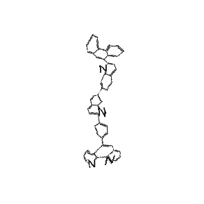 c1ccc2c(c1)cc(-c1ccc3ccc(-c4ccc5ccc(-c6ccc(-c7cc8cccnc8c8ncccc78)cc6)nc5c4)cc3n1)c1ccccc12